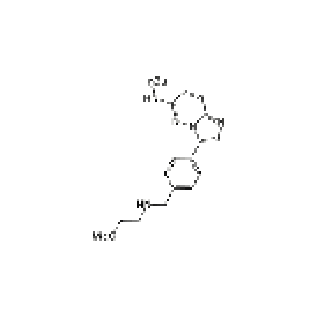 CCCCNc1ccc2ncc(-c3ccc(CNCCOC)cc3)n2n1